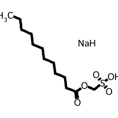 CCCCCCCCCCCC(=O)OCS(=O)(=O)O.[NaH]